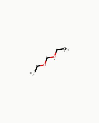 [CH2]COCOC[CH2]